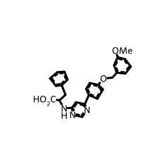 COc1cccc(COc2ccc(-c3cc(NC(Cc4ccccc4)C(=O)O)ncn3)cc2)c1